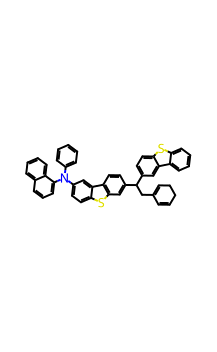 C1=CC(CC(c2ccc3c(c2)sc2ccc(N(c4ccccc4)c4cccc5ccccc45)cc23)c2ccc3sc4ccccc4c3c2)=CCC1